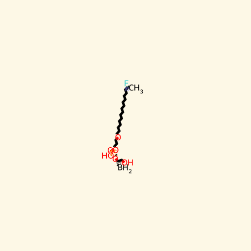 BC[C@@H](CO)OCP(=O)(O)OCCCOCCCCCCCCCCCCCC/C=C(\C)F